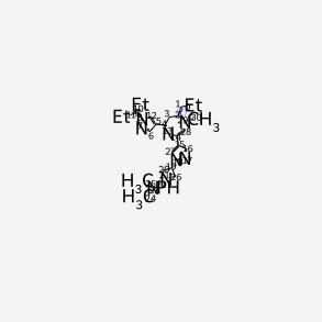 CC/C=C1/CC(c2cnn(C(CC)CC)c2)=NC(c2cnn(C3CN(PN(C)C)C3)c2)=CN1C